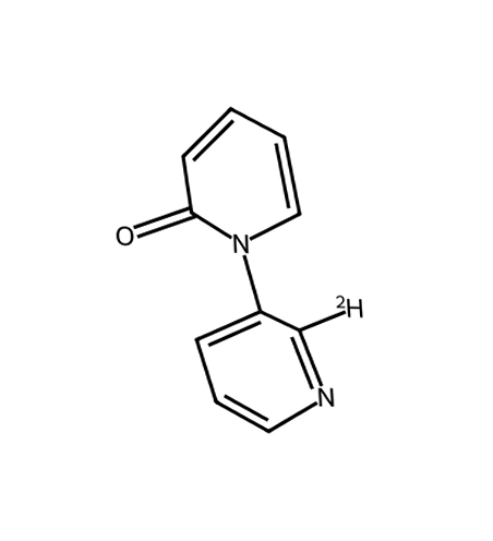 [2H]c1ncccc1-n1ccccc1=O